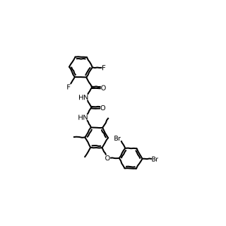 Cc1cc(Oc2ccc(Br)cc2Br)c(C)c(C)c1NC(=O)NC(=O)c1c(F)cccc1F